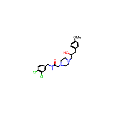 COc1ccc(CC(O)CN2CCN(CC(=O)NCc3ccc(Cl)c(Cl)c3)CC2)cc1